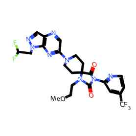 COCCN1C(=O)N(c2cc(C(F)(F)F)ccn2)C(=O)C12CCN(c1cnc3cnn(CC(F)F)c3n1)CC2